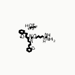 COc1ccccc1C=Cc1cc(C=Cc2ccccc2OC)nc(OCCCCNC(=N)N)n1.O=C(O)C(F)(F)F